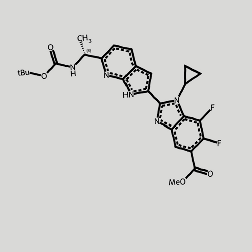 COC(=O)c1cc2nc(-c3cc4ccc([C@@H](C)NC(=O)OC(C)(C)C)nc4[nH]3)n(C3CC3)c2c(F)c1F